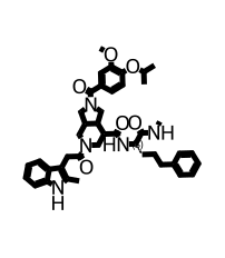 CNC(=O)[C@H](CCCc1ccccc1)NC(=O)C1CN(C(=O)Cc2c(C)[nH]c3ccccc23)CC2CN(C(=O)c3ccc(OC(C)C)c(OC)c3)CC21